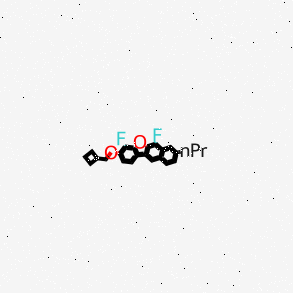 CCCc1ccc2cc3c(oc4c(F)c(OCC5CCC5)ccc43)c(F)c2c1